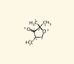 [CH2]C1COC(C)(C)C1=O